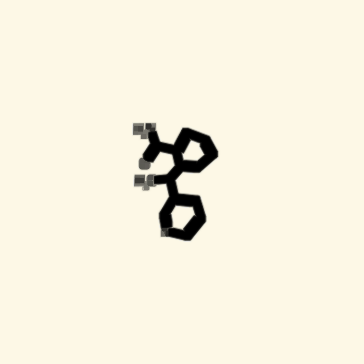 CC(c1cccnc1)c1ccccc1C(N)=O